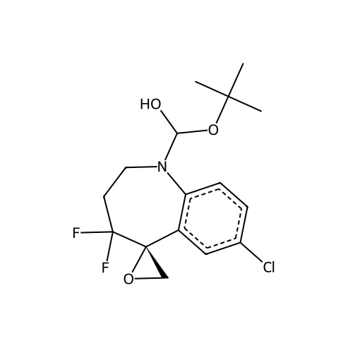 CC(C)(C)OC(O)N1CCC(F)(F)[C@]2(CO2)c2cc(Cl)ccc21